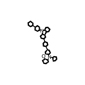 c1ccc(-c2ccc(-n3c4ccccc4c4cc(-c5ccc(-c6ccc7c(c6)Oc6ccccc6N7c6ccccc6)cc5)ccc43)cc2)cc1